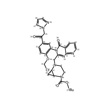 CC(C)(C)OC(=O)N1CCN(Cc2nc3ncccc3c(=O)n2-c2cc(C(=O)Cn3nccn3)ccc2OCC(F)(F)F)C2CC21